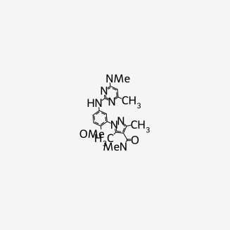 CNC(=O)c1c(C)nn(-c2cc(Nc3nc(C)cc(NC)n3)ccc2OC)c1C